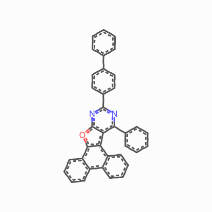 c1ccc(-c2ccc(-c3nc(-c4ccccc4)c4c(n3)oc3c5ccccc5c5ccccc5c34)cc2)cc1